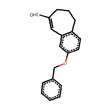 O=CC1=Cc2cc(OCc3ccccc3)ccc2CCC1